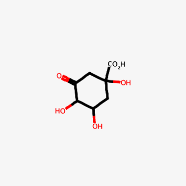 O=C1CC(O)(C(=O)O)CC(O)C1O